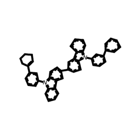 C1=C(c2cccc(-n3c4ccccc4c4cc(-c5ccc6c(c5)c5ccccc5n6-c5cccc(-c6ccccc6)c5)ccc43)c2)CCCC1